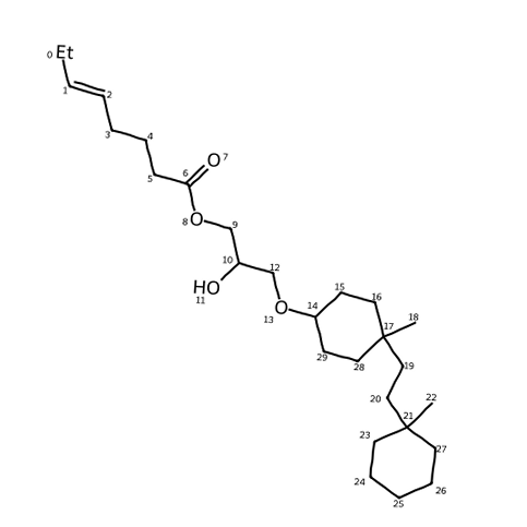 CCC=CCCCC(=O)OCC(O)COC1CCC(C)(CCC2(C)CCCCC2)CC1